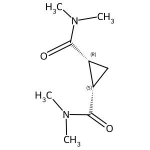 CN(C)C(=O)[C@H]1C[C@H]1C(=O)N(C)C